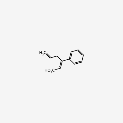 C=CCC(=CC(=O)O)c1ccccc1